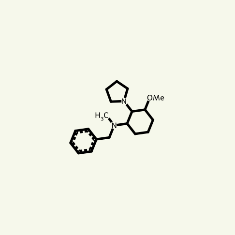 COC1CCCC(N(C)Cc2ccccc2)C1N1CCCC1